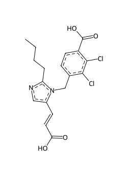 CCCCc1ncc(C=CC(=O)O)n1Cc1ccc(C(=O)O)c(Cl)c1Cl